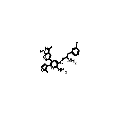 Cc1occc1-c1nc(N)c(OC[C@H](N)Cc2cccc(F)c2)cc1-c1cnc2[nH]nc(C)c2c1